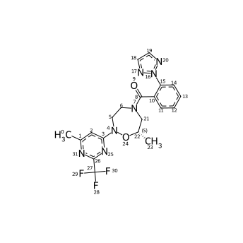 Cc1cc(N2CCN(C(=O)c3ccccc3-n3nccn3)C[C@H](C)O2)nc(C(F)(F)F)n1